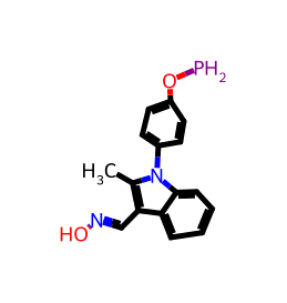 Cc1c(/C=N/O)c2ccccc2n1-c1ccc(OP)cc1